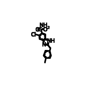 Cc1ccc(Cc2nc3cc(Cl)c(S(N)(=O)=O)cc3[nH]2)cc1